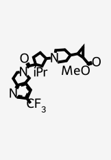 COC(=O)C1CC1C1CCN(C2CC[C@@](C(=O)N3CCc4ncc(C(F)(F)F)cc4C3)(C(C)C)C2)CC1